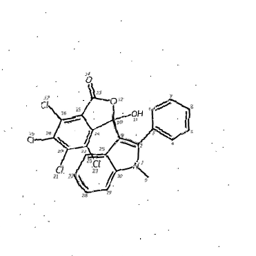 Cn1c(-c2ccccc2)c(C2(O)OC(=O)c3c(Cl)c(Cl)c(Cl)c(Cl)c32)c2ccccc21